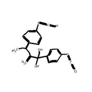 C=C(C(C)c1ccc(N=C=O)cc1)C(O)(O)c1ccc(N=C=O)cc1